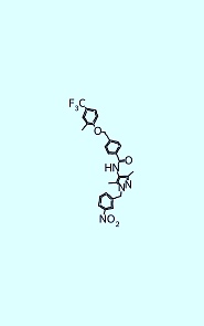 Cc1cc(C(F)(F)F)ccc1OCc1ccc(C(=O)Nc2c(C)nn(Cc3cccc([N+](=O)[O-])c3)c2C)cc1